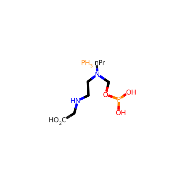 CCCN(CCNCC(=O)O)COP(O)O.P